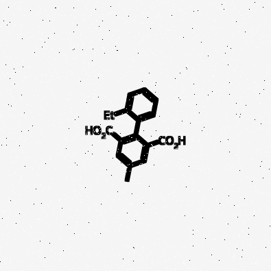 CCc1ccccc1-c1c(C(=O)O)cc(C)cc1C(=O)O